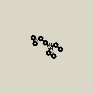 c1ccc(-c2cccc(-c3nc(-c4ccc(-c5cccc(-n6c7ccccc7c7ccccc76)c5)cc4)nc(-c4cccc5c4sc4ccccc45)n3)c2)cc1